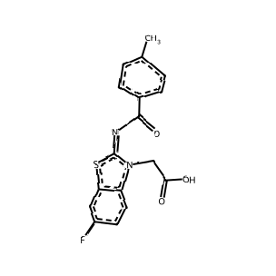 Cc1ccc(C(=O)N=c2sc3cc(F)ccc3n2CC(=O)O)cc1